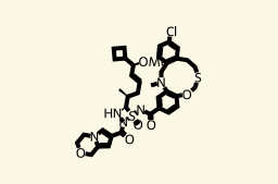 CO[C@@H](/C=C/C[C@H](C)[C@H]1NN(C(=O)c2cc3n(c2)CCOC3)S1(=O)=NC(=O)c1ccc2c(c1)N(C)Cc1ccc(Cl)cc1CCSCO2)C1CCC1